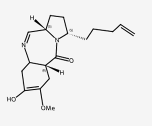 C=CCCC[C@H]1CC[C@H]2C=NC3CC(O)=C(OC)C[C@H]3C(=O)N12